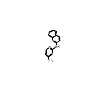 Cc1ccnc(Nc2ccc3ccccc3n2)c1